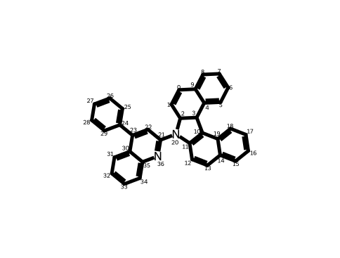 C1=CC2C(c3ccccc31)c1c(ccc3ccccc13)N2c1cc(-c2ccccc2)c2ccccc2n1